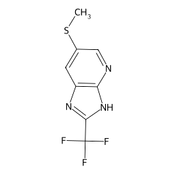 CSc1cnc2[nH]c(C(F)(F)F)nc2c1